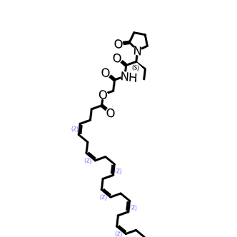 CC/C=C\C/C=C\C/C=C\C/C=C\C/C=C\C/C=C\CCC(=O)OCC(=O)NC(=O)[C@H](CC)N1CCCC1=O